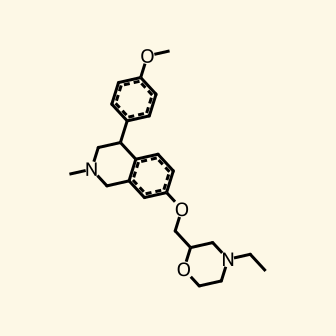 CCN1CCOC(COc2ccc3c(c2)CN(C)CC3c2ccc(OC)cc2)C1